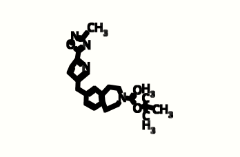 Cc1noc(-c2ccc(Cc3ccc4c(c3)CCN(C(=O)OC(C)(C)C)CC4)cn2)n1